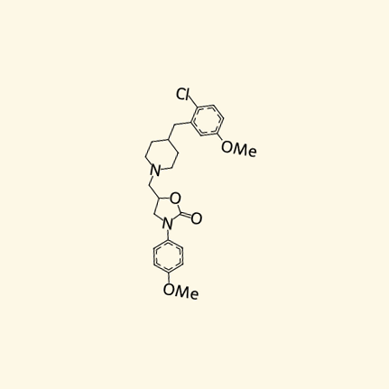 COc1ccc(N2CC(CN3CCC(Cc4cc(OC)ccc4Cl)CC3)OC2=O)cc1